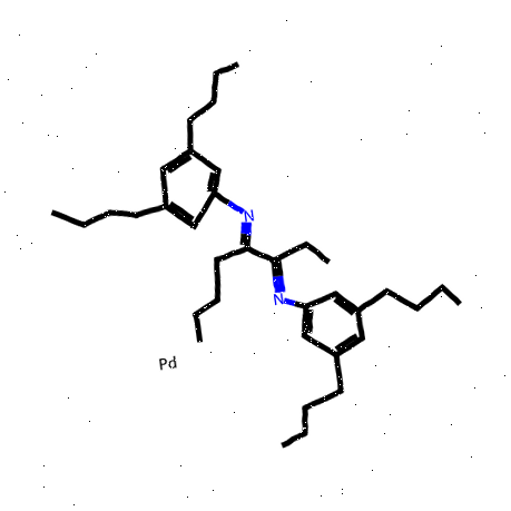 CCCCC(=N\c1cc(CCCC)cc(CCCC)c1)/C(CC)=N/c1cc(CCCC)cc(CCCC)c1.[Pd]